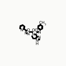 Cc1ccc2nc([C@@H]3c4nc[nH]c4CCN3C(=O)c3nnc(-c4ccccn4)o3)oc2c1